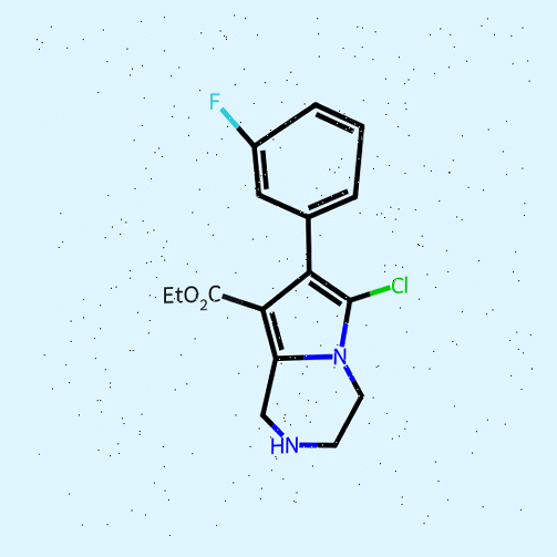 CCOC(=O)c1c(-c2cccc(F)c2)c(Cl)n2c1CNCC2